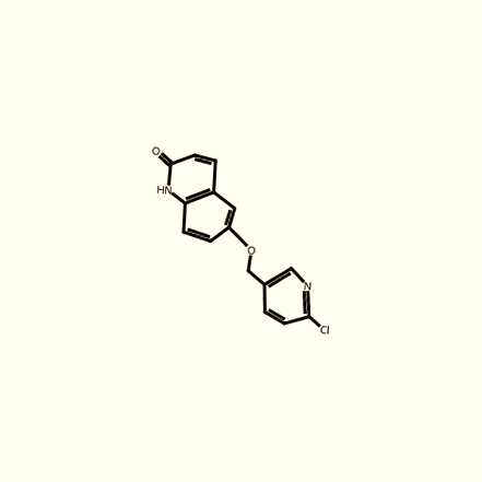 O=c1ccc2cc(OCc3ccc(Cl)nc3)ccc2[nH]1